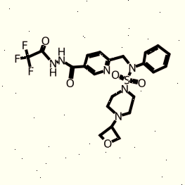 O=C(NNC(=O)C(F)(F)F)c1ccc(CN(c2ccccc2)S(=O)(=O)N2CCN(C3COC3)CC2)nc1